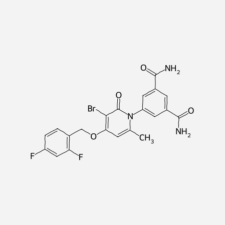 Cc1cc(OCc2ccc(F)cc2F)c(Br)c(=O)n1-c1cc(C(N)=O)cc(C(N)=O)c1